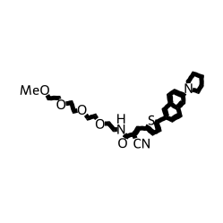 COCCOCCOCCOCCNC(=O)/C(C#N)=C/c1ccc(-c2ccc3cc(N4CCCCC4)ccc3c2)s1